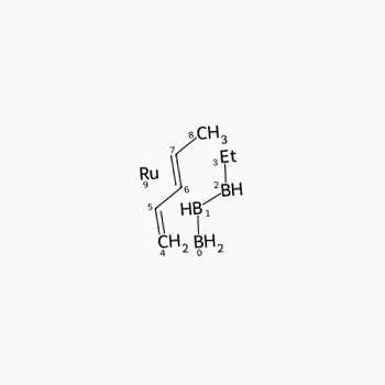 BBBCC.C=CC=CC.[Ru]